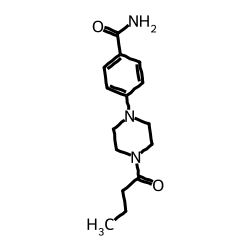 CCCC(=O)N1CCN(c2ccc(C(N)=O)cc2)CC1